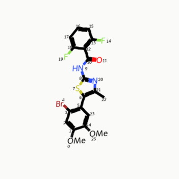 COc1cc(Br)c(-c2sc(NC(=O)c3c(F)cccc3F)nc2C)cc1OC